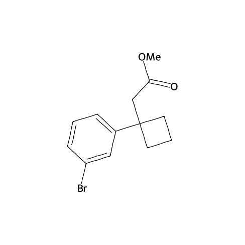 COC(=O)CC1(c2cccc(Br)c2)CCC1